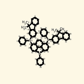 CC1(C)c2ccccc2-c2ccc(N(c3ccccc3)c3ccc4c5c3ccc3c(N(c6ccccc6)c6ccc7c(c6)C(C)(C)c6ccccc6-7)ccc(c35)n4-c3ccccc3)cc21